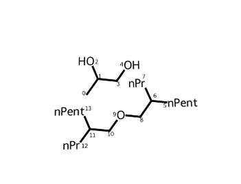 CC(O)CO.CCCCCC(CCC)COCC(CCC)CCCCC